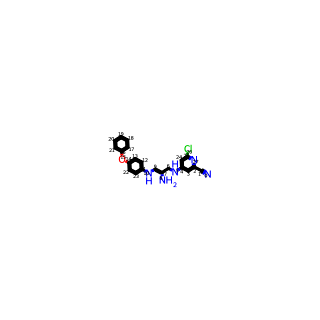 N#Cc1cc(NC/C(N)=C/Nc2ccc(Oc3ccccc3)cc2)cc(Cl)n1